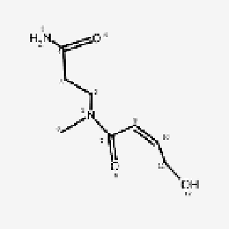 CN(CCC(N)=O)C(=O)/C=C\CO